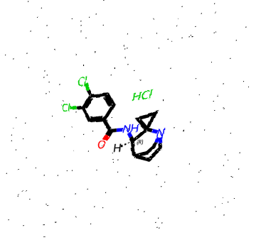 Cl.O=C(N[C@@H]1C2CCN(CC2)C12CC2)c1ccc(Cl)c(Cl)c1